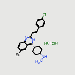 CCc1ccc2nc(C=Cc3ccc(Cl)cc3)nc([C@H]3CC[C@@H](NN)CC3)c2c1.Cl.Cl